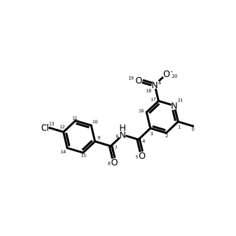 Cc1cc(C(=O)NC(=O)c2ccc(Cl)cc2)cc([N+](=O)[O-])n1